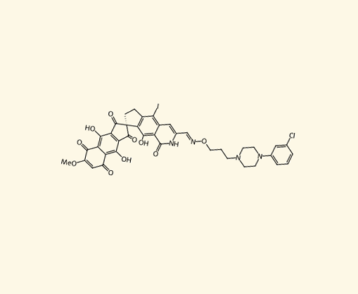 COC1=CC(=O)c2c(O)c3c(c(O)c2C1=O)C(=O)[C@]1(CCc2c1c(O)c1c(=O)[nH]c(/C=N/OCCCN4CCN(c5cccc(Cl)c5)CC4)cc1c2I)C3=O